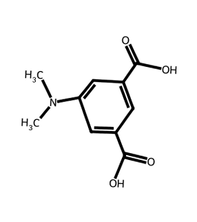 CN(C)c1cc(C(=O)O)cc(C(=O)O)c1